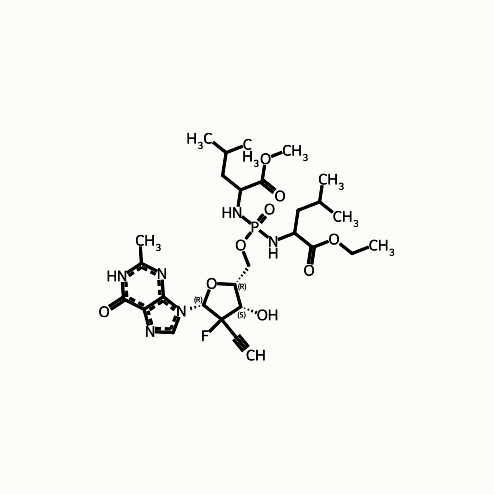 C#CC1(F)[C@@H](O)[C@@H](COP(=O)(NC(CC(C)C)C(=O)OC)NC(CC(C)C)C(=O)OCC)O[C@H]1n1cnc2c(=O)[nH]c(C)nc21